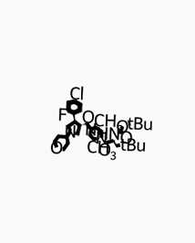 C[C@@H]1CN(C(=O)[C@@H]2CN(C3CCOCC3)C[C@H]2c2ccc(Cl)cc2F)[C@@H](C)CN1C(=O)[C@H](CC(C)(C)C)NC(=O)OC(C)(C)C